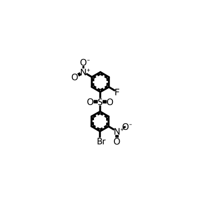 O=[N+]([O-])c1ccc(F)c(S(=O)(=O)c2ccc(Br)c([N+](=O)[O-])c2)c1